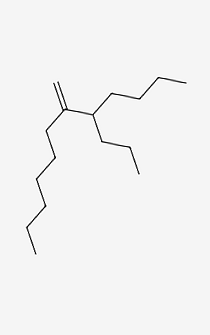 C=C(CCCCCC)C(CCC)CCCC